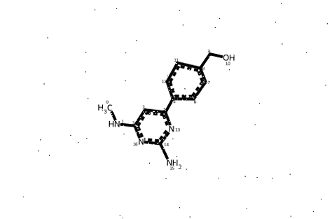 CNc1cc(-c2ccc(CO)cc2)nc(N)n1